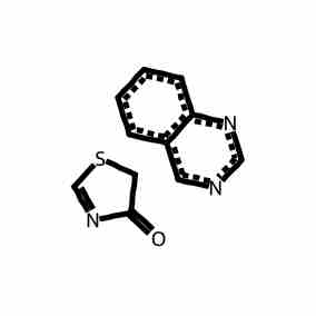 O=C1CSC=N1.c1ccc2ncncc2c1